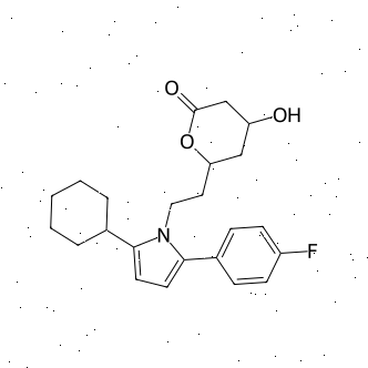 O=C1CC(O)CC(CCn2c(-c3ccc(F)cc3)ccc2C2CCCCC2)O1